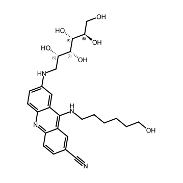 N#Cc1ccc2nc3ccc(NC[C@H](O)[C@@H](O)[C@H](O)[C@H](O)CO)cc3c(NCCCCCCO)c2c1